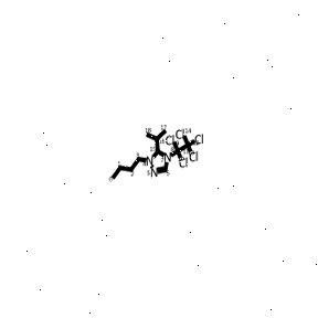 CCCCN1N=CN(C(Cl)(Cl)C(Cl)(Cl)Cl)C1C(C)C